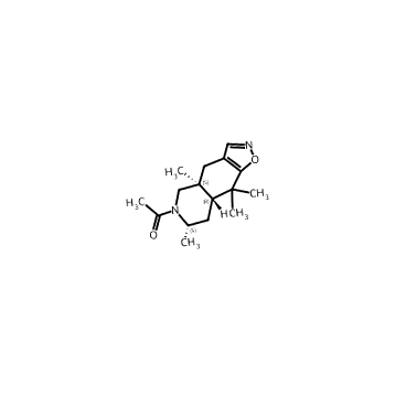 CC(=O)N1C[C@@]2(C)Cc3cnoc3C(C)(C)[C@@H]2C[C@@H]1C